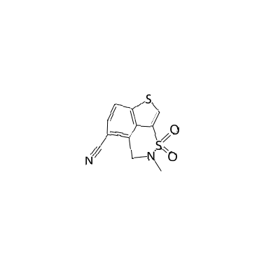 CN1Cc2c(C#N)ccc3scc(c23)S1(=O)=O